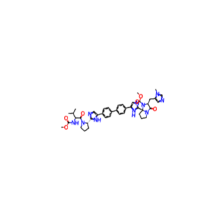 COC(=O)N[C@H](C(=O)N1CCC[C@H]1c1ncc(-c2ccc(-c3ccc(-c4cnc([C@]56CCCN5C(=O)[C@H](Cc5cncn5C)N6C(=O)OC)[nH]4)cc3)cc2)[nH]1)C(C)C